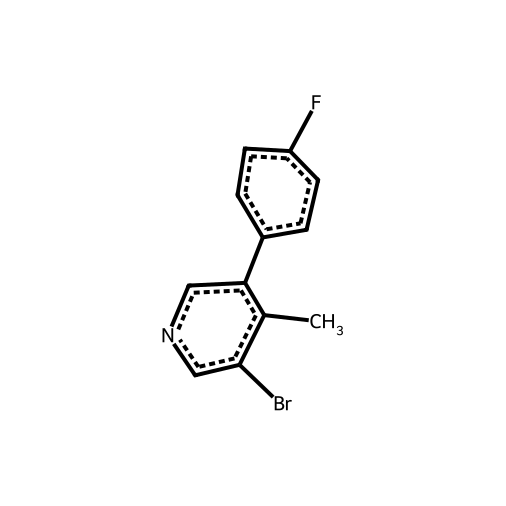 Cc1c(Br)cncc1-c1ccc(F)cc1